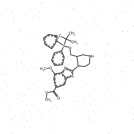 COC(=O)c1cc(OC)c2nc(N3CCNCC3CO[Si](c3ccccc3)(c3ccccc3)C(C)(C)C)sc2c1